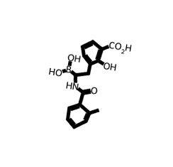 Cc1ccccc1C(=O)NC(Cc1cccc(C(=O)O)c1O)B(O)O